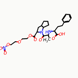 CC(NC(CCc1ccccc1)C(=O)O)C(=O)N1C(C(=O)OCCOCCO[N+](=O)[O-])CC2CCCC21